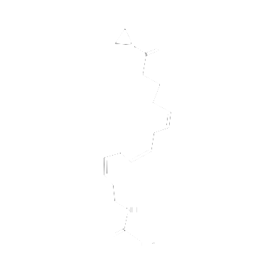 CCCCCC(=O)NCC/C=C\C/C=C\C/C=C\CCCC(=O)N1CC1